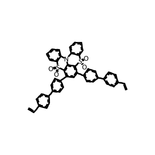 C=Cc1ccc(-c2ccc(-c3cc(-c4ccc(-c5ccc(C=C)cc5)cc4)c4c5c3S(=O)(=O)c3ccccc3N5c3ccccc3S4(=O)=O)cc2)cc1